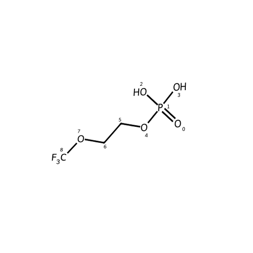 O=P(O)(O)OCCOC(F)(F)F